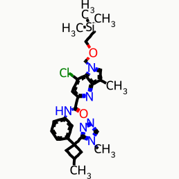 Cc1cn(COCC[Si](C)(C)C)c2c(Cl)cc(C(=O)Nc3cccc(C4(c5nncn5C)CC(C)C4)c3)nc12